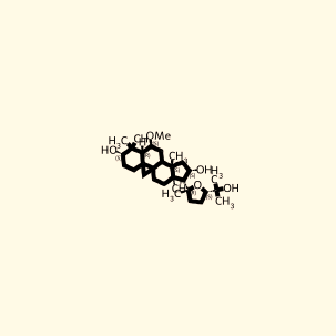 CO[C@H]1CC2C3(CC[C@]4(C)[C@@H]([C@@]5(C)CC[C@@H](C(C)(C)O)O5)[C@@H](O)C[C@@]24C)CC32CC[C@H](O)C(C)(C)[C@H]12